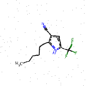 CCCCCc1[nH]c(C(F)(F)F)cc1C#N